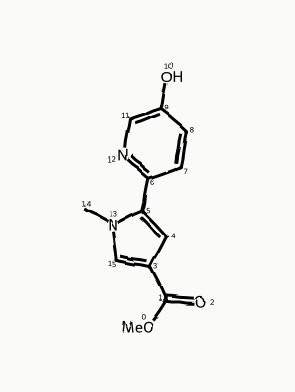 COC(=O)c1cc(-c2ccc(O)cn2)n(C)c1